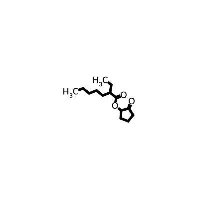 CCCCCC(CC)C(=O)OC1CCCC1=O